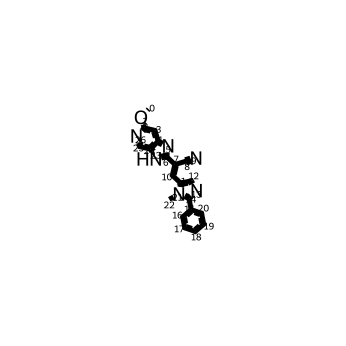 COc1cc2nc(/C(C#N)=C/c3cnc(-c4ccccc4)n3C)[nH]c2cn1